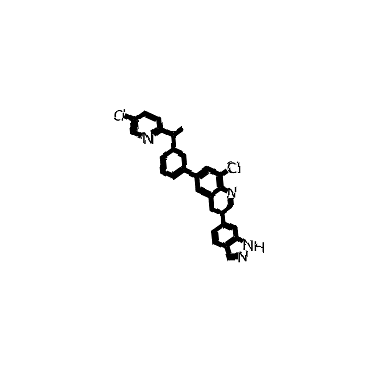 CC(c1ccc(Cl)cn1)C1C=CC=C(c2cc(Cl)c3c(c2)CC(c2ccc4cn[nH]c4c2)C=N3)C1